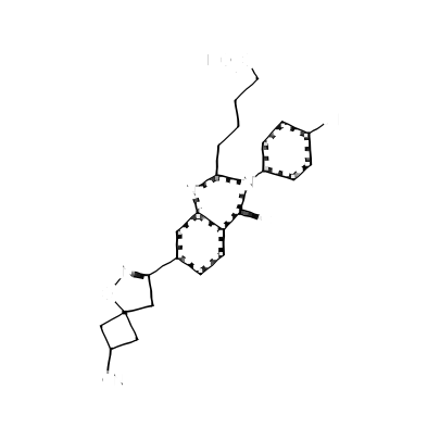 N#CC1CC2(CC(c3ccc4c(=O)n(-c5ccc(Cl)cc5)c(CCCCC(=O)O)nc4c3)=NO2)C1